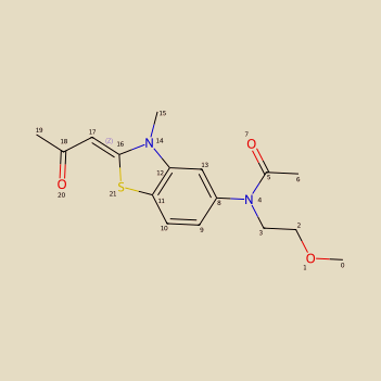 COCCN(C(C)=O)c1ccc2c(c1)N(C)/C(=C/C(C)=O)S2